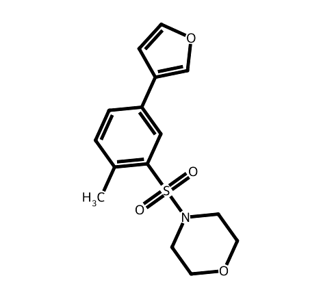 Cc1ccc(-c2ccoc2)cc1S(=O)(=O)N1CCOCC1